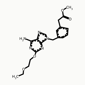 CCOCCOc1nc(N)c2ncn(Cc3cccc(CC(=O)OC)c3)c2n1